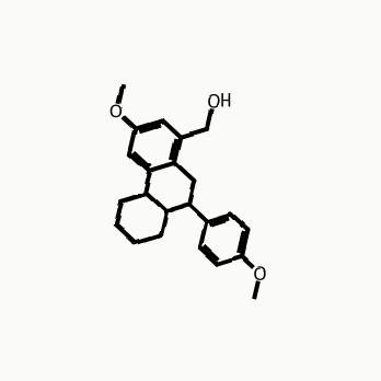 COc1ccc(C2Cc3c(CO)cc(OC)cc3C3CCCCC23)cc1